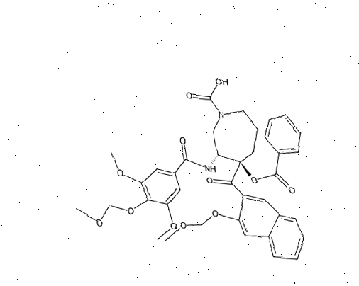 COCOc1cc2ccccc2cc1C(=O)[C@@]1(OC(=O)c2ccccc2)CCCN(C(=O)O)C[C@H]1NC(=O)c1cc(OC)c(OCOC)c(OC)c1